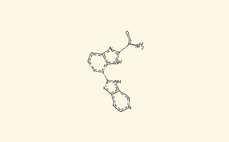 NC(=O)c1nc2cccc(-c3nc4ccncc4[nH]3)c2[nH]1